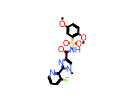 COc1ccc(OC)c(S(=O)(=O)NC(=O)c2cn(C)c(-c3ncccc3F)n2)c1